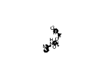 COc1ccc([C@H]2C[C@@H]2COc2cc(NCc3cnn4ccccc34)c(=O)n(C)n2)nc1